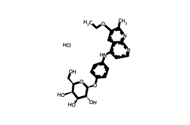 CCOc1cc2c(Nc3ccc(O[C@@H]4O[C@H](CO)[C@H](O)[C@H](O)[C@H]4O)cc3)ccnc2nc1C.Cl